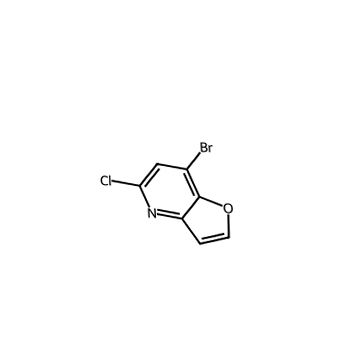 Clc1cc(Br)c2occc2n1